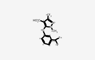 Cn1nc(C(F)(F)F)c(C(=O)O)c1Oc1cccc(C(F)F)c1